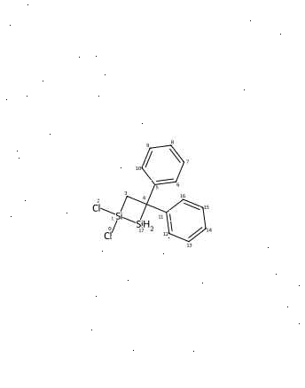 Cl[Si]1(Cl)CC(c2ccccc2)(c2ccccc2)[SiH2]1